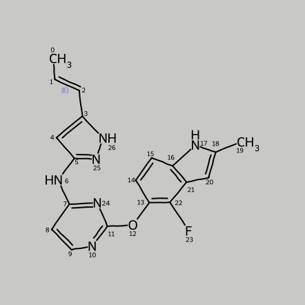 C/C=C/c1cc(Nc2ccnc(Oc3ccc4[nH]c(C)cc4c3F)n2)n[nH]1